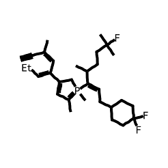 C#C/C(C)=C\C(=C/CC)C1=CC(C)=P(C)(/C(=C\CC2CCC(F)(F)CC2)C(C)CCC(C)(C)F)C1